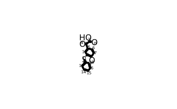 O=C(O)C(=O)c1ccc2c(c1)Sc1ccccc1O2